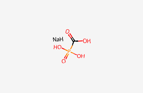 O=C(O)P(=O)(O)O.[NaH]